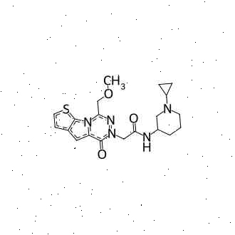 COCc1nn(CC(=O)NC2CCCN(C3CC3)C2)c(=O)c2cc3ccsc3n12